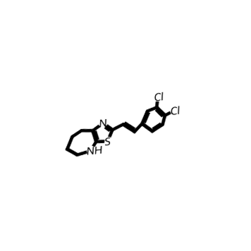 Clc1ccc(C=Cc2nc3c(s2)NCCCC3)cc1Cl